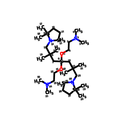 CN(C)CCO[Si](CC(C)(C)CN1[SiH2]CC[Si]1(C)C)(CC(C)(C)CN1[SiH2]CC[Si]1(C)C)OCCN(C)C